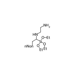 CCCCCCCCCCC(NCCN)[Si](OCC)(OCC)OCC